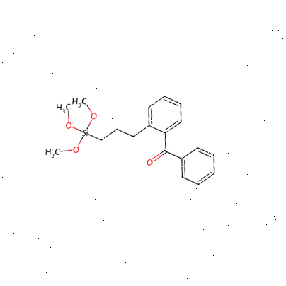 CO[Si](CCCc1ccccc1C(=O)c1ccccc1)(OC)OC